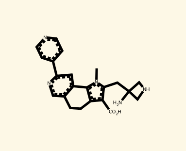 Cn1c(CC2(N)CNC2)c(C(=O)O)c2c1-c1cc(-c3ccncc3)ncc1CC2